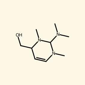 CN(C)C1N(C)C=CC(CO)N1C